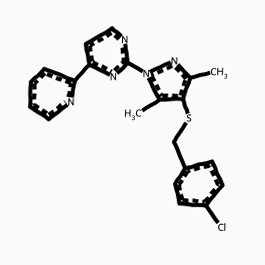 Cc1nn(-c2nccc(-c3ccccn3)n2)c(C)c1SCc1ccc(Cl)cc1